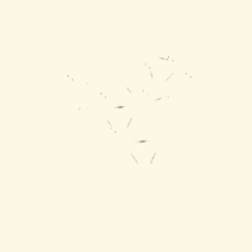 COc1cc(F)c(-c2cc(C(=O)n3cnc4c(N)ncnc43)c(N3CCC[C@](N)([C@H](O)C(F)F)C3)cn2)cc1F